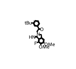 COc1cc2c(c(F)c1OC)C(=N)N(CC(=O)c1cc[c]c(C(C)(C)C)c1)C2